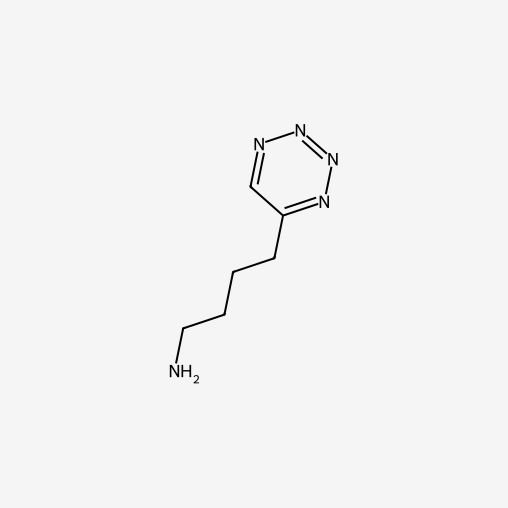 NCCCCc1cnnnn1